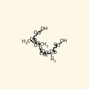 CC(COC(=O)OC(C)COCC(C)OC(=O)OCC(C)OC(=O)CCC(=O)OCCO)OC(=O)CCC(=O)OCCO